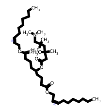 CCCCCCC/C=C\COC(=O)CCCC(CCCC(=O)OC/C=C\CCCCCCC)OC(=O)CC(C)(C)CC(C)(C)CN(C)C